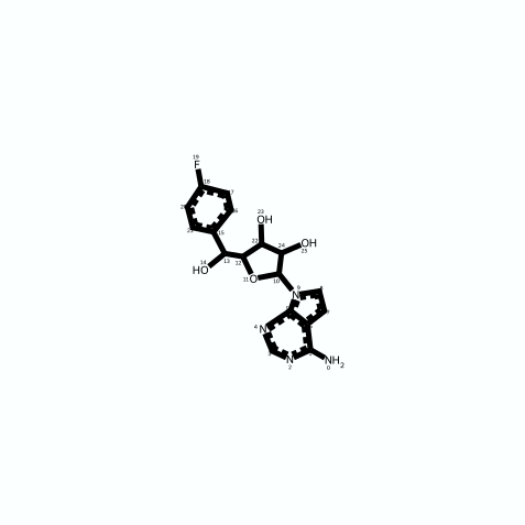 Nc1ncnc2c1ccn2C1OC(C(O)c2ccc(F)cc2)C(O)C1O